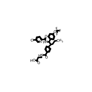 CCCC(c1ccc(C(=O)NCCC(=O)O)cc1)C(NC(=O)c1ccc(Cl)cn1)c1ccc(OC(F)(F)F)cc1